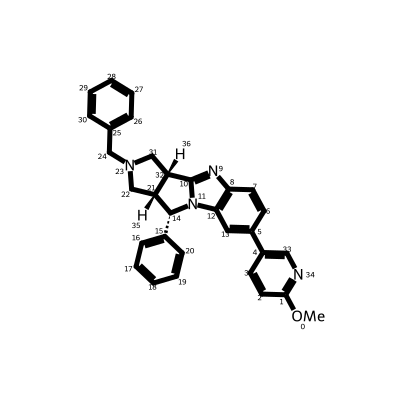 COc1ccc(-c2ccc3nc4n(c3c2)[C@H](c2ccccc2)[C@@H]2CN(Cc3ccccc3)C[C@H]42)cn1